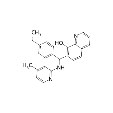 CCc1ccc(C(Nc2cc(C)ccn2)c2ccc3cccnc3c2O)cc1